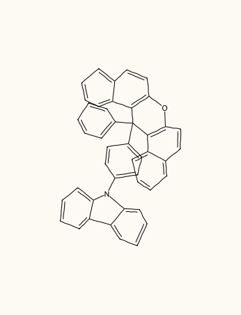 c1ccc(C2(c3ccc(-n4c5ccccc5c5ccccc54)cc3)c3c(ccc4ccccc34)Oc3ccc4ccccc4c32)cc1